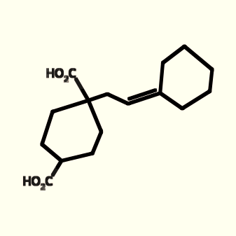 O=C(O)C1CCC(CC=C2CCCCC2)(C(=O)O)CC1